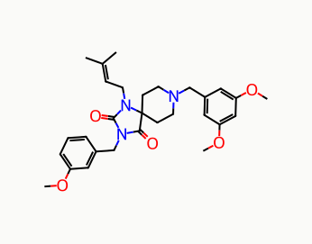 COc1cccc(CN2C(=O)N(CC=C(C)C)C3(CCN(Cc4cc(OC)cc(OC)c4)CC3)C2=O)c1